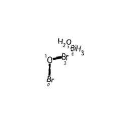 BrOBr.O.[BiH3]